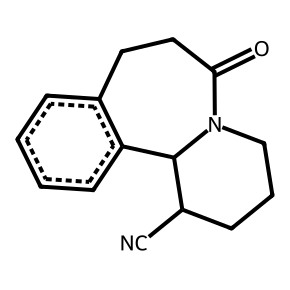 N#CC1CCCN2C(=O)CCc3ccccc3C12